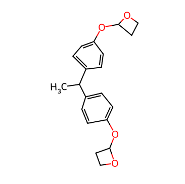 CC(c1ccc(OC2CCO2)cc1)c1ccc(OC2CCO2)cc1